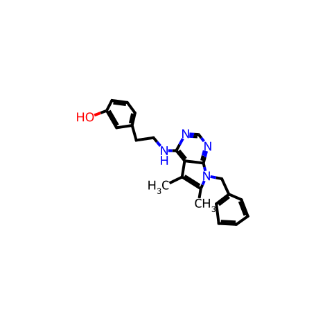 Cc1c(C)n(Cc2ccccc2)c2ncnc(NCCc3cccc(O)c3)c12